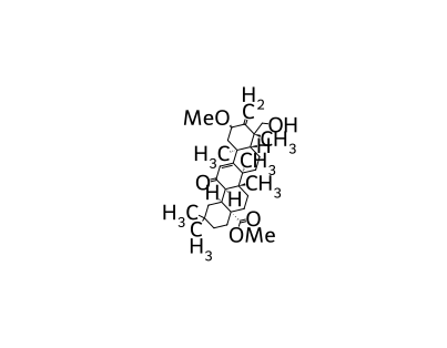 C=C1[C@H](OC)C[C@]2(C)C3=CC(=O)[C@@H]4[C@@H]5CC(C)(C)CC[C@]5(C(=O)OC)CC[C@@]4(C)[C@]3(C)CC[C@H]2[C@@]1(C)CO